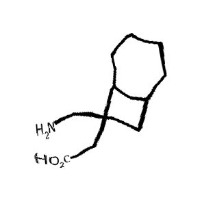 NCC1(CC(=O)O)CC2CCCCC21